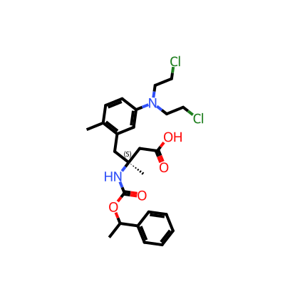 Cc1ccc(N(CCCl)CCCl)cc1C[C@@](C)(CC(=O)O)NC(=O)OC(C)c1ccccc1